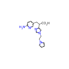 Nc1ccc(CC(C(=O)O)c2cn(CCn3cccc3)cn2)cn1